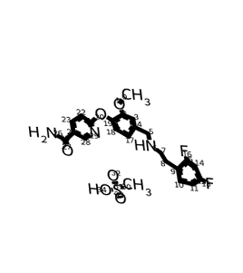 COc1cc(CNCCc2ccc(F)cc2F)ccc1Oc1ccc(C(N)=O)cn1.CS(=O)(=O)O